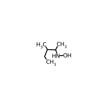 CCC(C)C(C)NO